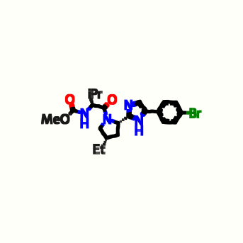 CC[C@H]1C[C@@H](c2ncc(-c3ccc(Br)cc3)[nH]2)N(C(=O)[C@@H](NC(=O)OC)C(C)C)C1